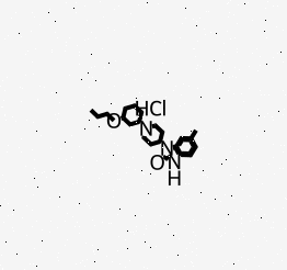 CCCOC1CCCC(N2CCC(n3c(=O)[nH]c4ccc(C)cc43)CC2)C1.Cl